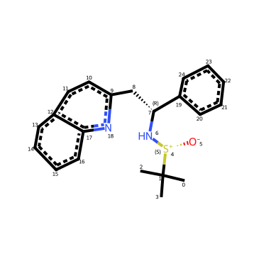 CC(C)(C)[S@@+]([O-])N[C@H](Cc1ccc2ccccc2n1)c1ccccc1